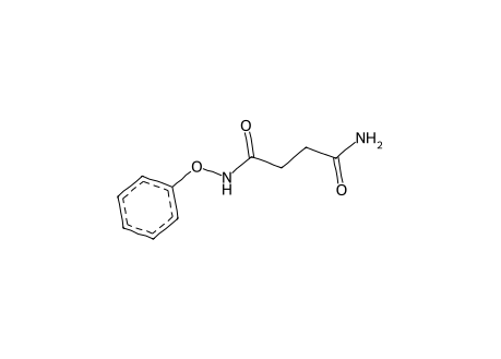 NC(=O)CCC(=O)NOc1ccccc1